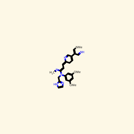 C=N/C(=C\C=C1/CC=C(/C(C=N)=C/NC)C=N1)N(Cc1ncc[nH]1)c1cc(OC)cc(OC)c1